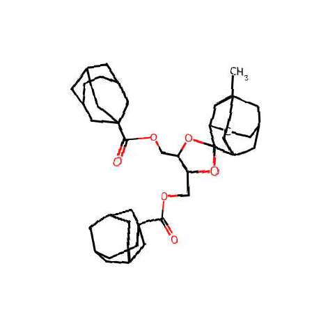 CC12CC3CCC(C1)C1(OC(COC(=O)C45CCC6CC(CC(C6)C4)C5)C(COC(=O)C45CC6CCC(CC(C6)C4)C5)O1)C(C3)C2